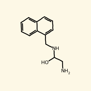 NCC(O)NCc1cccc2ccccc12